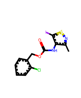 Cc1nsc(I)c1NC(=O)OCc1ccccc1Cl